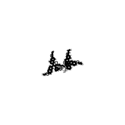 C=CCOc1ccc2cc(C(c3ccc4cc(OCC=C)ccc4c3)C3C(=O)N(CCCCN4C(=O)C(c5ccc6cc(OCC=C)ccc6c5)(c5ccc6cc(OCC=C)ccc6c5)c5cccc(C(F)(F)F)c54)c4c3cccc4C(F)(F)F)ccc2c1